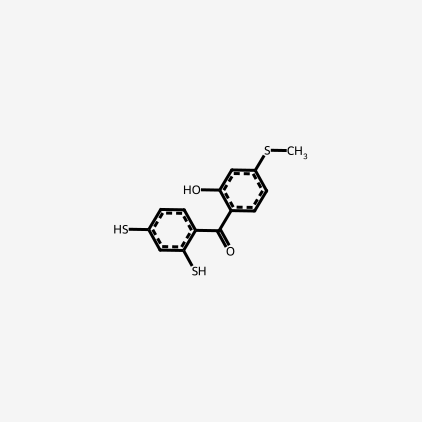 CSc1ccc(C(=O)c2ccc(S)cc2S)c(O)c1